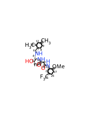 CCC[C@H](O)[C@H](CNCc1ccc(C)cc1C)NC(=O)CC(=O)Nc1cc(C(F)(F)F)ccc1OC